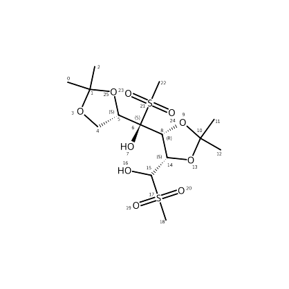 CC1(C)OC[C@@H]([C@@](O)([C@@H]2OC(C)(C)O[C@@H]2C(O)S(C)(=O)=O)S(C)(=O)=O)O1